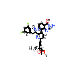 CNC(Cc1cc(F)cc(F)c1)c1nc(C#CC(C)(C)O)ccc1-c1cccc2c(=O)[nH]cnc12